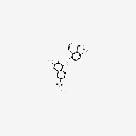 C=Cc1c(S(=O)(=O)O)ccc(/N=N/c2c(O)c(S(=O)(=O)O)cc3cc(S(=O)(=O)OC)ccc23)c1/C=C\C